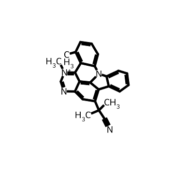 Cc1cccc2c1c1c3c(cc(C(C)(C)C#N)c4c5ccccc5n2c43)nc[n+]1C